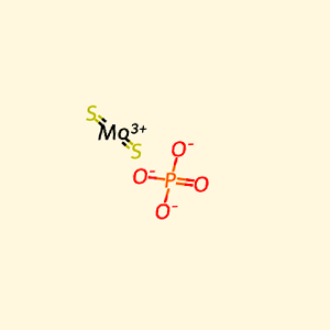 O=P([O-])([O-])[O-].[S]=[Mo+3]=[S]